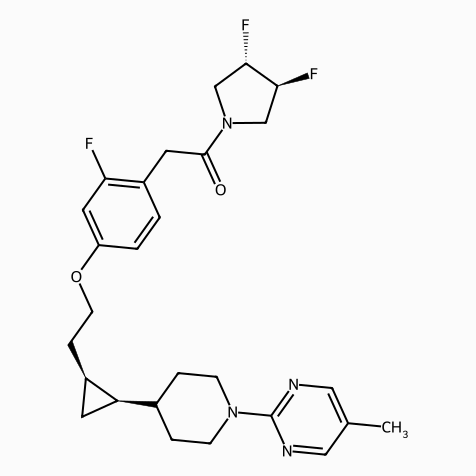 Cc1cnc(N2CCC([C@H]3C[C@H]3CCOc3ccc(CC(=O)N4C[C@H](F)[C@@H](F)C4)c(F)c3)CC2)nc1